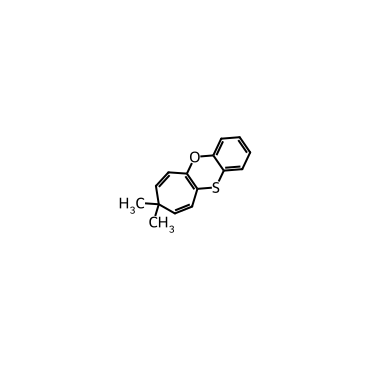 CC1(C)C=CC2=C(C=C1)Sc1ccccc1O2